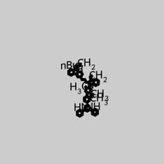 C=CC1=C(CCCC2C=C3C4C=CC=CC4N(C(C=C)CCCC)[C@H]3CC2)N(C2=CC3=C(CC2C)C2=C(CC([C@H]4NC(C5=CCCC=C5)CC(c5ccccc5)N4)C=C2)C3(C)C)C2=CC=CCC21